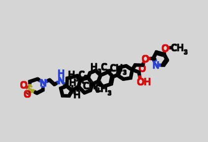 COc1ccnc(OCCC2(C(=O)O)CC=C(C3=CC[C@@]4(C)C(CC[C@]5(C)C4CC[C@@H]4[C@H]6CCC[C@]6(NCCN6CCS(=O)(=O)CC6)CC[C@]45C)C3(C)C)CC2)c1